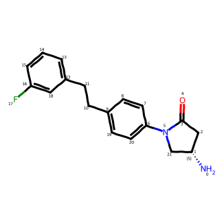 N[C@H]1CC(=O)N(c2ccc(CCc3cccc(F)c3)cc2)C1